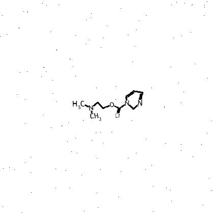 CN(C)CCOC(=O)N1C=CC=NC1